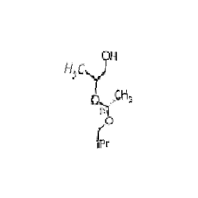 CC(C)CO[C@@H](C)OC(C)CO